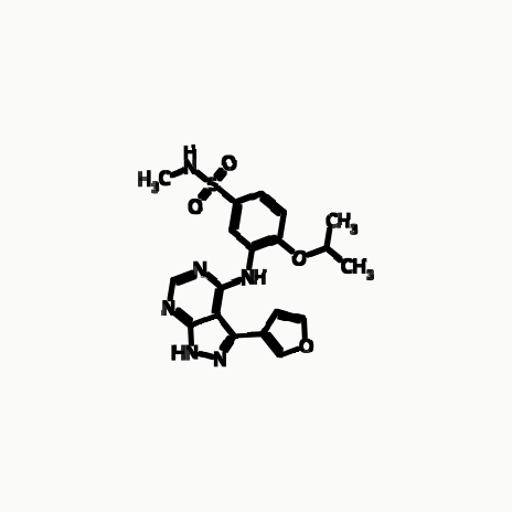 CNS(=O)(=O)c1ccc(OC(C)C)c(Nc2ncnc3[nH]nc(-c4ccoc4)c23)c1